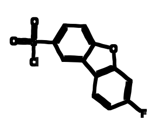 O=S(=O)(Cl)c1ccc2oc3cc(F)ccc3c2c1